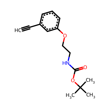 C#Cc1cccc(OCCNC(=O)OC(C)(C)C)c1